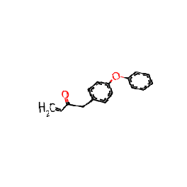 C=CC(=O)Cc1ccc(Oc2ccccc2)cc1